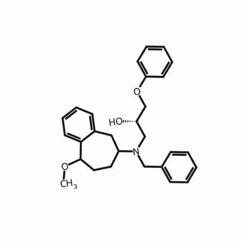 COC1CCC(N(Cc2ccccc2)C[C@H](O)COc2ccccc2)Cc2ccccc21